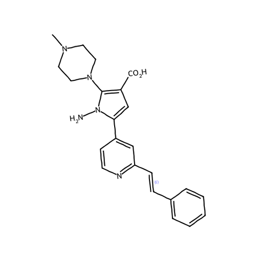 CN1CCN(c2c(C(=O)O)cc(-c3ccnc(/C=C/c4ccccc4)c3)n2N)CC1